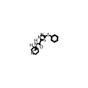 O=C(N[C@H]1CN2CCC1CC2)c1nnc(Sc2ccccc2)s1